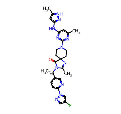 CC1=NC2(CCN(c3nc(C)cc(Nc4cc(C)[nH]n4)n3)CC2)C(=O)N1[C@@H](C)c1ccc(-n2cc(F)cn2)nc1